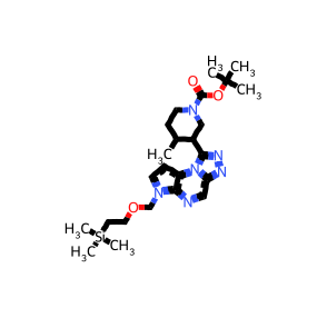 CC1CCN(C(=O)OC(C)(C)C)CC1c1nnc2cnc3c(ccn3COCC[Si](C)(C)C)n12